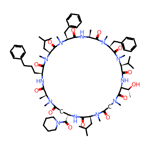 CC(C)C[C@H]1C(=O)N[C@H](C(=O)N2CCCCC2)CC(=O)N(C)[C@@H](C)C(=O)N[C@@H](CCCc2ccccc2)C(=O)N(C)[C@@H](CC(C)C)C(=O)N(C)[C@@H](Cc2ccccc2)C(=O)N[C@@H](C)C(=O)N(C)[C@@H](Cc2ccccc2)C(=O)N(C)[C@@H](C(C)C)C(=O)N[C@@H]([C@@H](C)O)C(=O)N(C)CC(=O)N1C